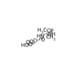 Cc1[nH]c2c(F)ccc(C)c2c1CCNC(=O)/C=C/c1ccc2oc(OC(=O)O)cc2c1